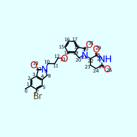 Cc1cc2c(cc1Br)CN(CCCOc1cccc3c1CN(C1CCC(=O)NC1=O)C3=O)C2=O